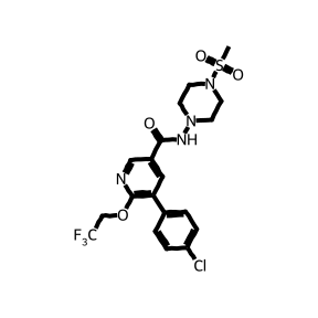 CS(=O)(=O)N1CCN(NC(=O)c2cnc(OCC(F)(F)F)c(-c3ccc(Cl)cc3)c2)CC1